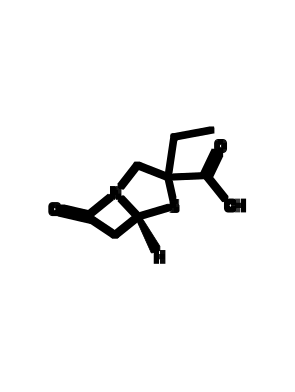 CCC1(C(=O)O)CN2C(=O)C[C@H]2S1